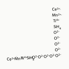 [Ce+3].[Ce+3].[Mn+2].[Mn+2].[O-2].[O-2].[O-2].[O-2].[O-2].[O-2].[O-2].[O-2].[O-2].[SiH4].[SiH4].[Ti+4].[Ti+4]